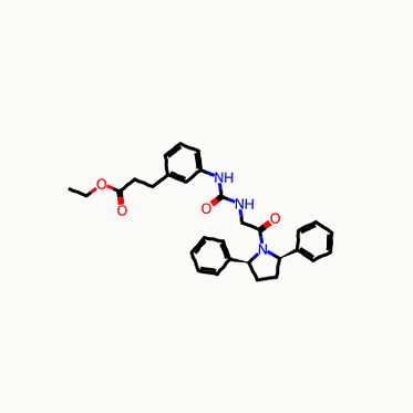 CCOC(=O)CCc1cccc(NC(=O)NCC(=O)N2[C@@H](c3ccccc3)CC[C@H]2c2ccccc2)c1